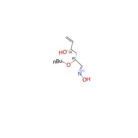 C=C[C@@H](O)C[C@H](/C=N/O)OCCCC